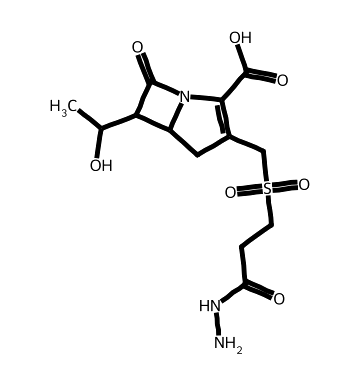 CC(O)C1C(=O)N2C(C(=O)O)=C(CS(=O)(=O)CCC(=O)NN)CC12